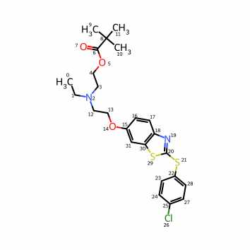 CCN(CCOC(=O)C(C)(C)C)CCOc1ccc2nc(Sc3ccc(Cl)cc3)sc2c1